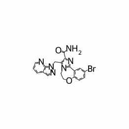 NC(=O)c1nc2n(c1Cn1ncc3cccnc31)CCOc1ccc(Br)cc1-2